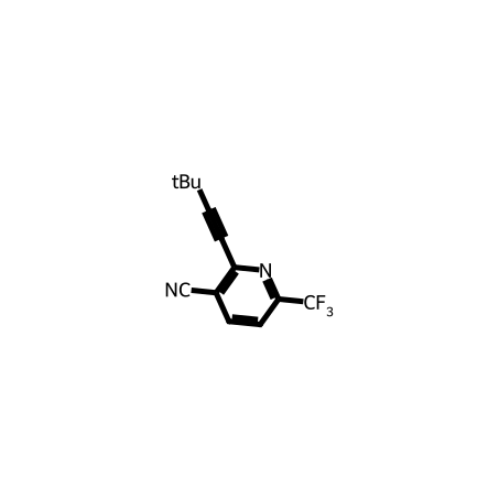 CC(C)(C)C#Cc1nc(C(F)(F)F)ccc1C#N